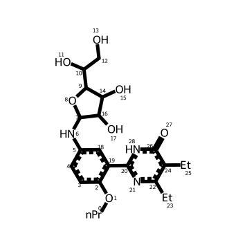 CCCOc1ccc(NC2OC(C(O)CO)C(O)C2O)cc1-c1nc(CC)c(CC)c(=O)[nH]1